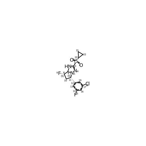 O=S(=O)(C1=NN2C(N1)[C@@H](F)C[C@H]2c1cc(F)cc(Cl)c1)C1CC1